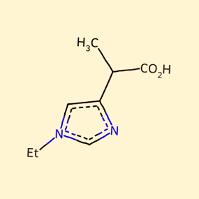 CCn1cnc(C(C)C(=O)O)c1